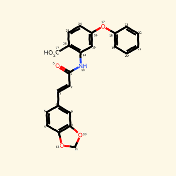 O=C(C=Cc1ccc2c(c1)OCO2)Nc1cc(Oc2ccccc2)ccc1C(=O)O